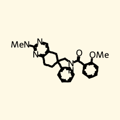 CNc1ncc2c(n1)CCC(CNC(=O)c1ccccc1OC)(c1ccccc1)C2